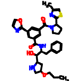 CCCO[C@H]1CN[C@@H]([C@@H](O)[C@H](Cc2ccccc2)NC(=O)c2cc(C(=O)N3CCCC3c3nc(C)cs3)cc(-c3ncco3)c2)C1